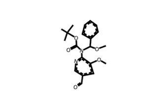 COc1cc(C=O)cnc1N(C(=O)OC(C)(C)C)C(OC)c1ccccc1